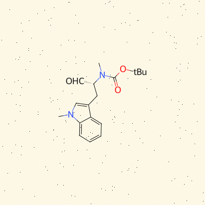 CN(C(=O)OC(C)(C)C)[C@@H](C=O)Cc1cn(C)c2ccccc12